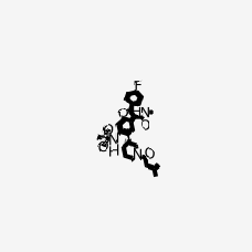 CNC(=O)c1c(-c2ccc(F)cc2)oc2cc(NS(C)(=O)=O)c([C@@H]3CCCN(C(=O)C=C(C)C)C3)cc12